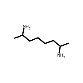 CC(N)CCCCC(C)N